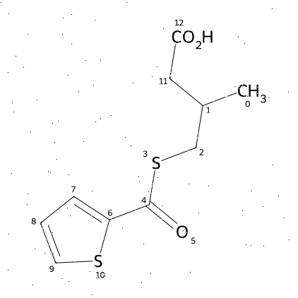 CC(CSC(=O)c1cccs1)CC(=O)O